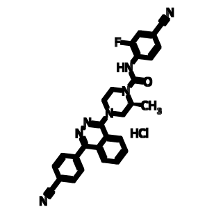 C[C@H]1CN(c2nnc(-c3ccc(C#N)cc3)c3ccccc23)CCN1C(=O)Nc1ccc(C#N)cc1F.Cl